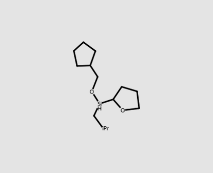 CC(C)C[SiH](OCC1CCCC1)C1CCCO1